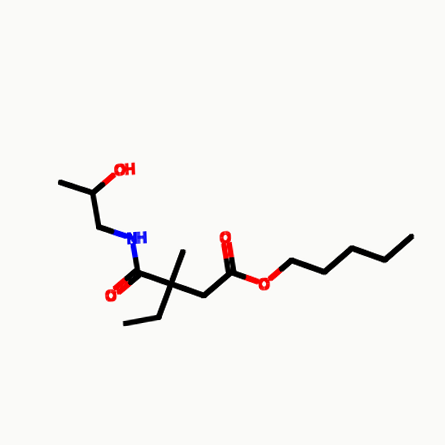 CCCCCOC(=O)CC(C)(CC)C(=O)NCC(C)O